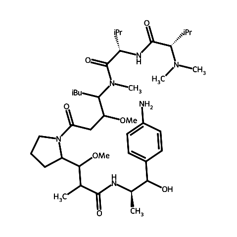 CCC(C)C(C(CC(=O)N1CCCC1C(OC)C(C)C(=O)N[C@H](C)C(O)c1ccc(N)cc1)OC)N(C)C(=O)[C@@H](NC(=O)[C@H](C(C)C)N(C)C)C(C)C